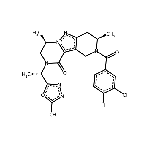 Cc1nnc([C@H](C)N2C[C@@H](C)n3nc4c(c3C2=O)CN(C(=O)c2ccc(Cl)c(Cl)c2)[C@H](C)C4)o1